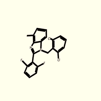 Cc1cccc2c1nc(-c1c(F)cccc1F)n2Cc1c(Cl)cccc1Cl